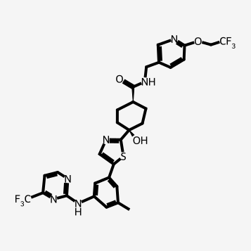 Cc1cc(Nc2nccc(C(F)(F)F)n2)cc(-c2cnc([C@]3(O)CC[C@@H](C(=O)NCc4ccc(OCC(F)(F)F)nc4)CC3)s2)c1